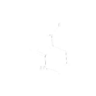 CCNC1CCCNC1=O